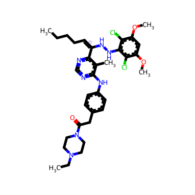 CCCC/C=C(/NNc1c(Cl)c(OC)cc(OC)c1Cl)c1ncnc(Nc2ccc(CC(=O)N3CCN(CC)CC3)cc2)c1C